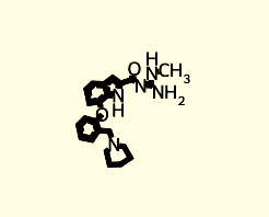 CNC(N)=NC(=O)c1cc2cccc(Oc3ccccc3CN3CCCCC3)c2[nH]1